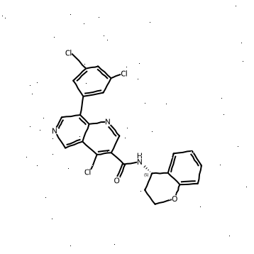 O=C(N[C@H]1CCOc2ccccc21)c1cnc2c(-c3cc(Cl)cc(Cl)c3)cncc2c1Cl